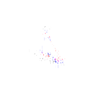 CC[C@H](C)[C@@H]([C@@H](CC(=O)N1CCC[C@H]1[C@H](OC)[C@@H](C)C(=O)N[C@@H](Cc1ccccc1)C(=O)O)OC)N(C)C(=O)[C@@H](NC(=O)[C@H](C(C)C)N(C)C(=O)CCOCCOCCOCCOCCNC(=O)CCC(=O)N1Cc2ccccc2C#Cc2ccccc21)C(C)C